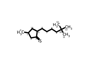 CC1CC(=S)C(CCCCC(C)(C)C)C1